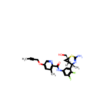 CC#CCOc1cnc(C(=O)Nc2cc(F)c(F)c([C@@]3(C)N=C(N)S[C@@]4(CO)C[C@H]43)c2)c(C)c1